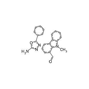 Cn1c2ccccc2c2cccc(C=O)c21.Nc1nnc(-c2ccccc2)o1